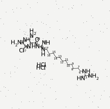 Cl.Cl.N=C(N)NCCCCCCCCCCCCNC(=N)NC(=O)c1nc(Cl)c(N)nc1N